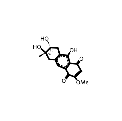 COC1=CC(=O)c2c(cc3c(c2O)C[C@@H](O)[C@@](C)(O)C3)C1=O